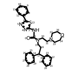 O=C(Nc1nnc(-c2ccccc2)s1)N(CCC(c1ccccc1)c1ccccc1)CCN1CCOCC1